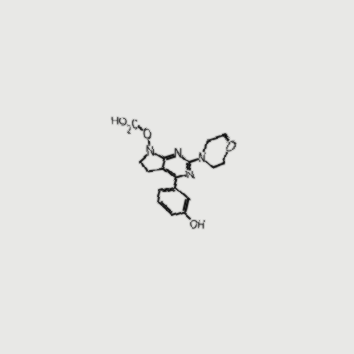 O=C(O)ON1CCc2c(-c3cccc(O)c3)nc(N3CCOCC3)nc21